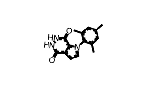 Cc1cc(C)c(-n2ccc3c(=O)[nH][nH]c(=O)c32)c(C)c1